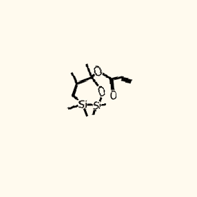 C=CC(=O)OC1(C)O[Si](C)(C)[Si](C)(C)CC1C